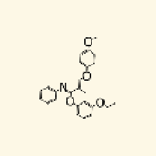 CCOc1cccc(OC(=N\c2ccccc2)/C(C)=C/Oc2ccc(OC)cc2)c1